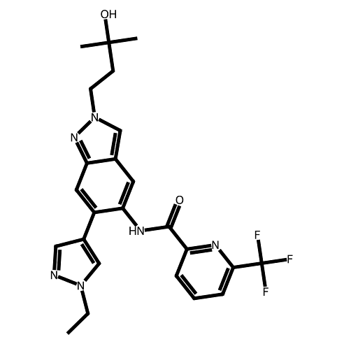 CCn1cc(-c2cc3nn(CCC(C)(C)O)cc3cc2NC(=O)c2cccc(C(F)(F)F)n2)cn1